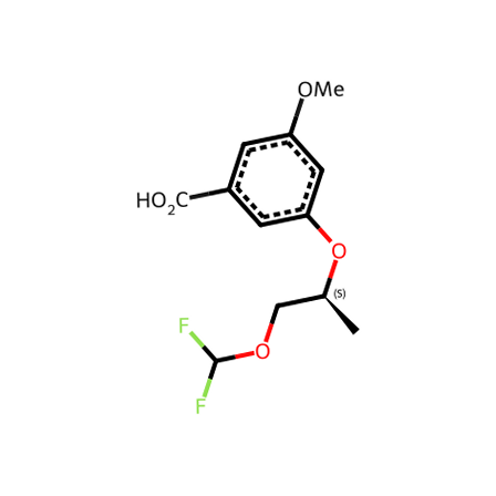 COc1cc(O[C@@H](C)COC(F)F)cc(C(=O)O)c1